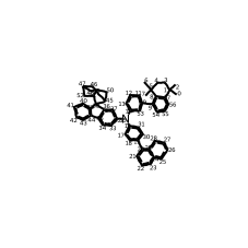 CC1(C)CCC(C)(C)c2c(-c3cccc(N(c4ccc(-c5cccc6ccccc56)cc4)c4ccc5c(c4)C4(c6ccccc6-5)C5CC6CC(C5)C4C6)c3)cccc21